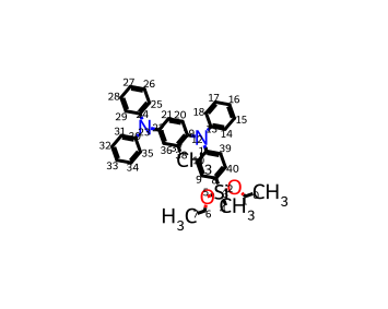 CCO[Si](C)(OCC)c1ccc(N(c2ccccc2)c2ccc(N(c3ccccc3)c3ccccc3)cc2C)cc1